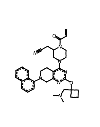 C=CC(=O)N1CCN(c2nc(OC3(CN(C)C)CCC3)nc3c2CCN(c2cccc4ccccc24)C3)CC1CC#N